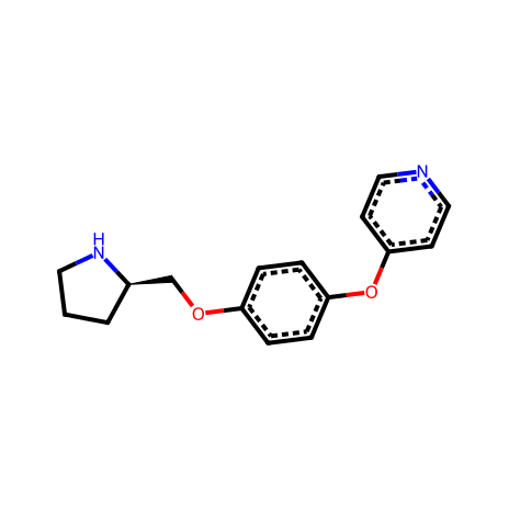 c1cc(Oc2ccc(OC[C@H]3CCCN3)cc2)ccn1